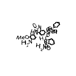 COc1cc(Nc2ccc(S(=O)(=O)NS(=O)(=O)c3ccccc3)cc2[N+](=O)[O-])ccc1N.Cc1ccccc1S(N)(=O)=O